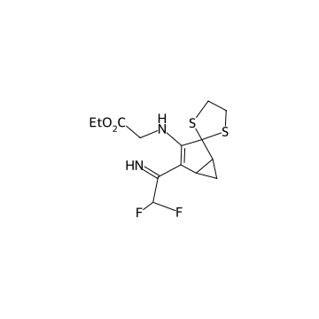 CCOC(=O)CNC1=C(C(=N)C(F)F)C2CC2C12SCCS2